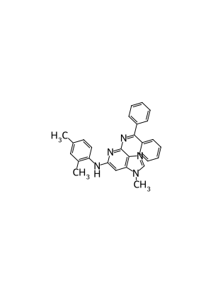 Cc1ccc(Nc2cc3c(ncn3C)c(N=C(c3ccccc3)c3ccccc3)n2)c(C)c1